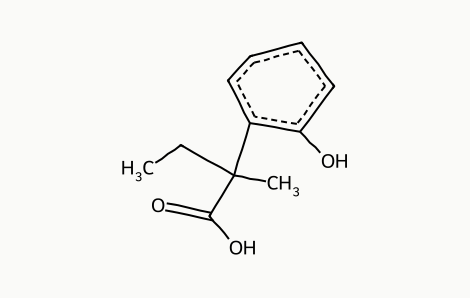 CCC(C)(C(=O)O)c1ccccc1O